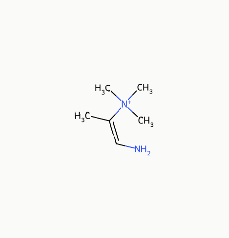 CC(=CN)[N+](C)(C)C